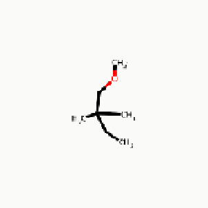 [CH2]OCC(C)(C)CC